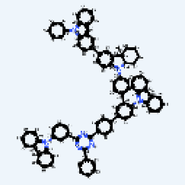 c1ccc(-c2nc(-c3ccc(-c4ccc(-n5c6ccccc6c6ccccc65)c(-c5ccc(N6c7ccc(-c8ccc9c(c8)c8ccccc8n9-c8ccccc8)cc7[C@H]7CCCCC76)cc5)c4)cc3)nc(-c3cccc(-n4c5ccccc5c5ccccc54)c3)n2)cc1